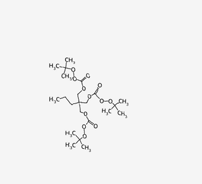 CCCC(COC(=O)OOC(C)(C)C)(COC(=O)OOC(C)(C)C)COC(=O)OOC(C)(C)C